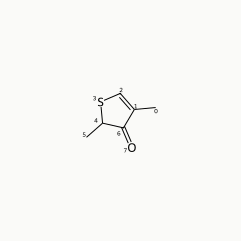 CC1=CSC(C)C1=O